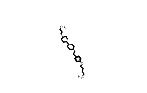 CCCCCOc1ccc(CC[C@H]2CC[C@H]([C@H]3CC[C@H](CCCC)CC3)CC2)cc1